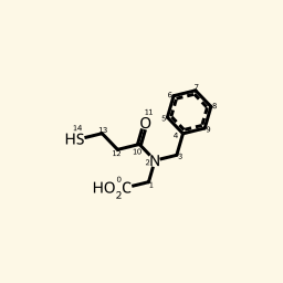 O=C(O)CN(Cc1ccccc1)C(=O)CCS